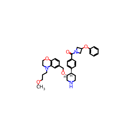 COCCCN1CCOc2ccc(CO[C@H]3CNCC[C@@H]3c3ccc(C(=O)N4CC(Oc5ccccc5)C4)cc3)cc21